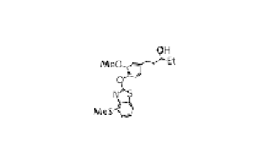 CCC(O)CCc1ccc(Oc2nc3c(SC)cccc3s2)c(OC)c1